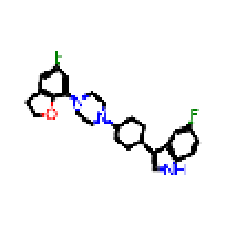 Fc1cc2c(c(N3CCN(C4CCC(c5c[nH]c6ccc(F)cc56)CC4)CC3)c1)OCC2